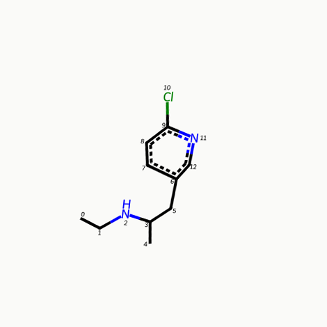 CCNC(C)Cc1ccc(Cl)nc1